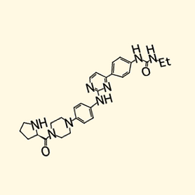 CCNC(=O)Nc1ccc(-c2ccnc(Nc3ccc(N4CCN(C(=O)[C@H]5CCCN5)CC4)cc3)n2)cc1